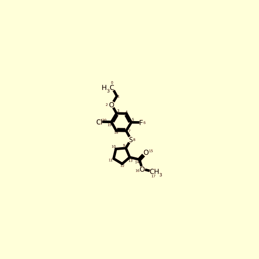 CCOc1cc(F)c(SC2CCCC2C(=O)OC)cc1Cl